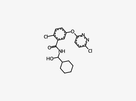 O=C(NC(O)C1CCCCC1)c1cc(Oc2ccc(Cl)nn2)ccc1Cl